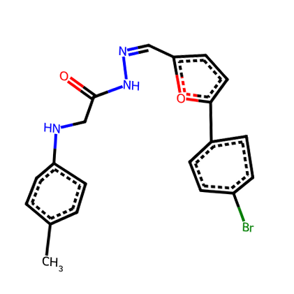 Cc1ccc(NCC(=O)N/N=C\c2ccc(-c3ccc(Br)cc3)o2)cc1